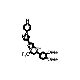 COc1ccc(C2CC(C(F)(F)F)n3nc(-c4cnn(C5CCNCC5)c4)cc3N2)cc1OC